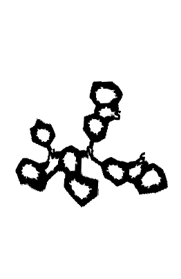 c1ccc(-n2c3ccccc3c3c4ccccc4c(N(c4ccc5c(c4)sc4ccccc45)c4ccc5c(c4)sc4ccccc45)cc32)cc1